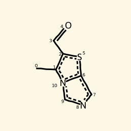 Cc1c(C=O)sc2cncn12